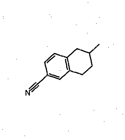 CC1CCc2cc(C#N)ccc2C1